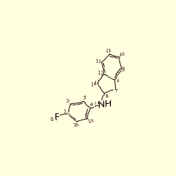 Fc1ccc(NC2Cc3ccccc3C2)cc1